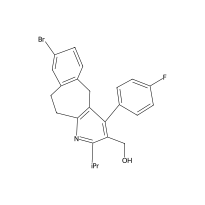 CC(C)c1nc2c(c(-c3ccc(F)cc3)c1CO)Cc1ccc(Br)cc1CC2